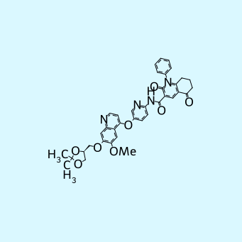 COc1cc2c(Oc3ccc(NC(=O)c4cc5c(n(-c6ccccc6)c4=O)CCCC5=O)nc3)ccnc2cc1OC[C@H]1COC(C)(C)O1